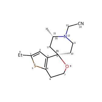 CCc1cc2c(s1)CCO[C@@]21CCN(CC#N)[C@@H](C)C1